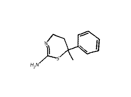 CC1(c2ccccc2)CCN=C(N)S1